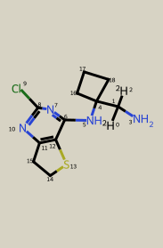 [2H]C([2H])(N)C1(Nc2nc(Cl)nc3c2SCC3)CCC1